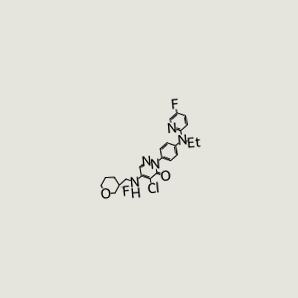 CCN(c1ccc(-n2ncc(NC[C@]3(F)CCCOC3)c(Cl)c2=O)cc1)c1ccc(F)cn1